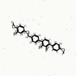 COc1ccc(-c2ccc(-c3ccc(COc4ccc(OC)c(F)c4)cc3)c(F)c2F)cc1